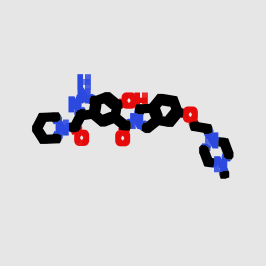 CN1CCN(CCOc2ccc3c(c2)CN(C(=O)c2cc4c(C(=O)N5CCCCC5)n[nH]c4cc2O)C3)CC1